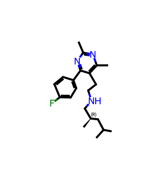 Cc1nc(C)c(CCNC[C@H](C)CC(C)C)c(-c2ccc(F)cc2)n1